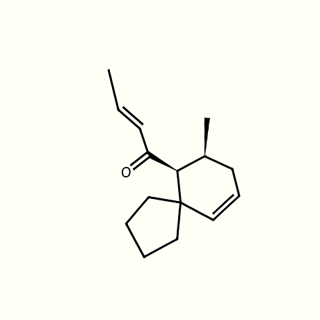 C/C=C/C(=O)[C@H]1[C@@H](C)CC=CC12CCCC2